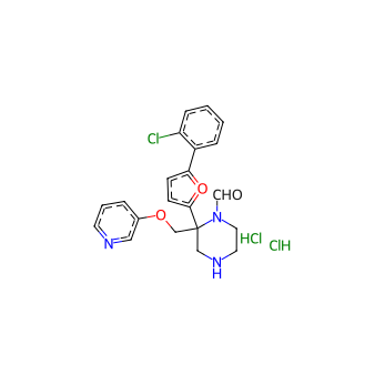 Cl.Cl.O=CN1CCNCC1(COc1cccnc1)c1ccc(-c2ccccc2Cl)o1